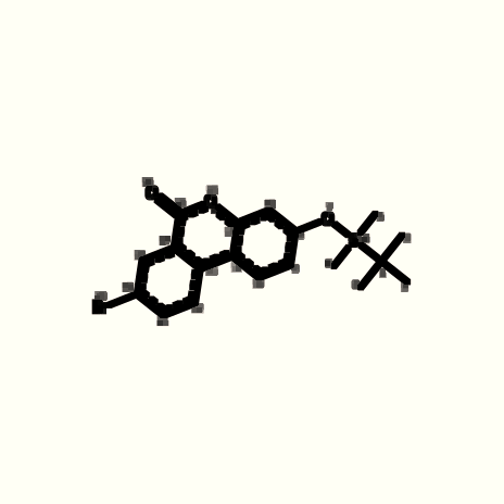 CC(C)(C)[Si](C)(C)Oc1ccc2c(c1)oc(=O)c1cc(Br)ccc12